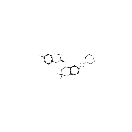 CC1(C)Oc2ccc(S(=O)(=O)N3CCOCC3)cc2[C@@H](N=C(NC#N)Nc2ccc(Cl)cc2)[C@@H]1O